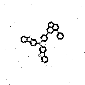 C1=Cc2cc(-c3ccc(N(c4ccc5c(c4)oc4ccccc45)c4ccc5c(c4)oc4ccccc45)cc3)cc3c(-c4ccccc4)ccc1c23